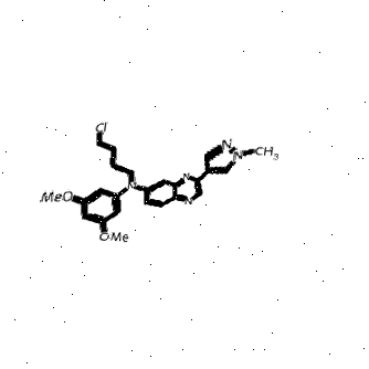 COc1cc(OC)cc(N(CCCCCl)c2ccc3ncc(-c4cnn(C)c4)nc3c2)c1